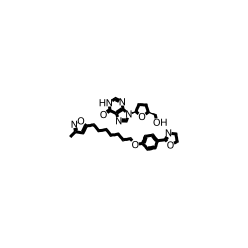 Cc1cc(CCCCCCCOc2ccc(C3=NCCO3)cc2)on1.O=c1[nH]cnc2c1ncn2[C@H]1CC[C@@H](CO)O1